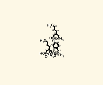 CCCCC(CC)CP(=O)(O)O.CCCCC(CC)CP(=O)([O-])O.C[N+](C)(C)Cc1ccccc1